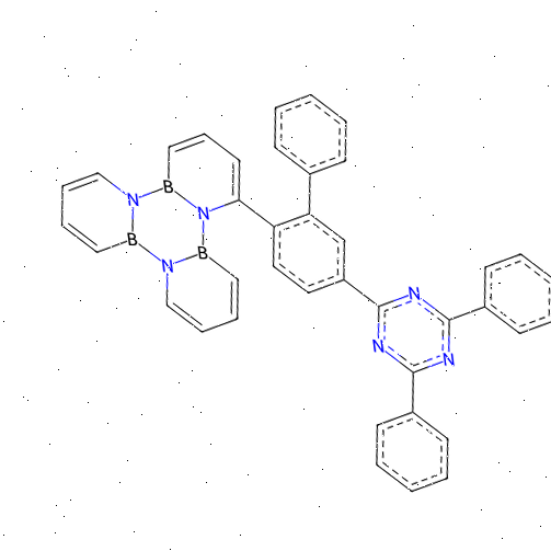 C1=CB2N3C=CC=CB3N3B(C=CC=C3c3ccc(-c4nc(-c5ccccc5)nc(-c5ccccc5)n4)cc3-c3ccccc3)N2C=C1